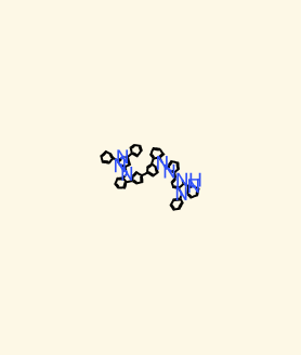 C1=C(c2cccc(-n3c4ccccc4c4cc(-c5ccc6c7ccccc7n(-c7cc(-c8ccccc8)nc(-c8ccccc8)n7)c6c5)ccc43)n2)NC2C(=C1)N(c1ccccc1)c1cccnc12